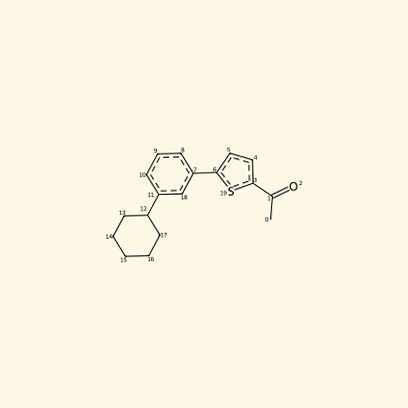 CC(=O)c1ccc(-c2cccc(C3CCCCC3)c2)s1